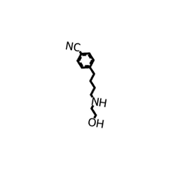 N#Cc1ccc(CCCCNCCO)cc1